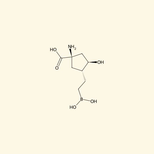 N[C@]1(C(=O)O)C[C@@H](CCB(O)O)[C@H](O)C1